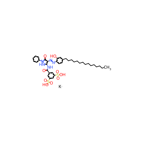 CCCCCCCCCCCCCCCc1ccc(N=Nc2c(NC(=O)c3cc(S(=O)(=O)O)cc(S(=O)(=O)O)c3)[nH]n(-c3ccccc3)c2=O)c(O)c1.[K]